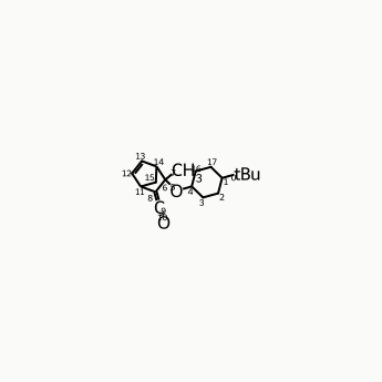 CC(C)(C)C1CCC(OC2(C)C(=C=O)C3C=CC2C3)CC1